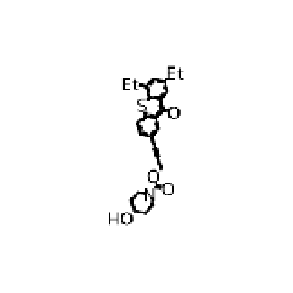 CCc1cc(CC)c2sc3ccc(C#CCOC(=O)N4CCC(O)CC4)cc3c(=O)c2c1